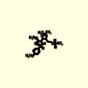 COC(=O)[C@H](NS(=O)(=O)c1ccc(OC)cc1)[C@@H]1OC(C)(C)C[C@H]1CCOS(C)(=O)=O